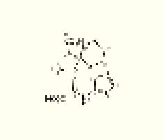 C[C@H](Nc1cccs1)C(=O)O.NCC1(CC(=O)O)CCCCC1